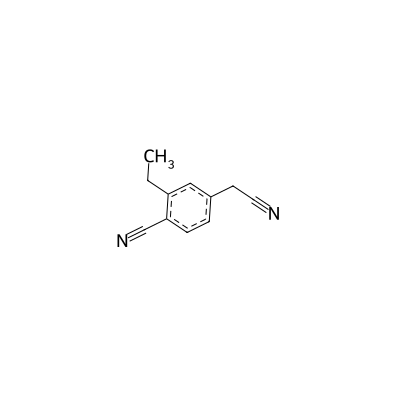 CCc1cc(CC#N)ccc1C#N